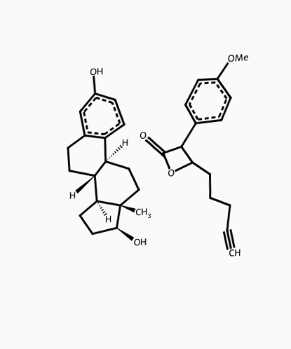 C#CCCCC1OC(=O)C1c1ccc(OC)cc1.C[C@]12CC[C@@H]3c4ccc(O)cc4CC[C@H]3[C@@H]1CC[C@@H]2O